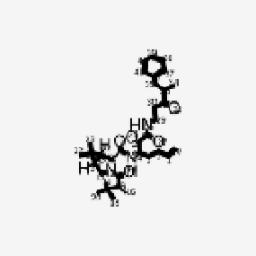 C=CCCC(NC(=O)[C@@H]1[C@@H]2[C@H](CN1C(=O)[C@@H](C)C(C)(C)C)C2(C)C)C(=O)C(=O)NCCC(=O)C(C)Cc1ccccc1